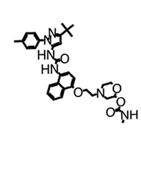 CNC(=O)OC1CN(CCOc2ccc(NC(=O)Nc3cc(C(C)(C)C)nn3-c3ccc(C)cc3)c3ccccc23)CCO1